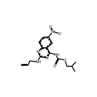 C=CCNc1nc(NC(=O)OCC(C)C)c2cc([N+](=O)[O-])ccc2n1